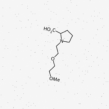 COCCOCCN1CCCC1C(=O)O